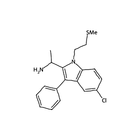 CSCCn1c(C(C)N)c(-c2ccccc2)c2cc(Cl)ccc21